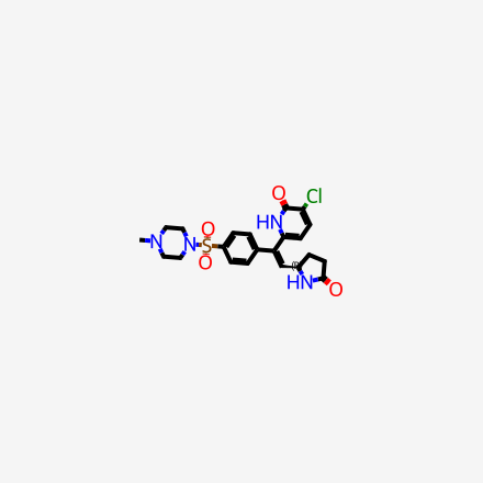 CN1CCN(S(=O)(=O)c2ccc(C(=C[C@H]3CCC(=O)N3)c3ccc(Cl)c(=O)[nH]3)cc2)CC1